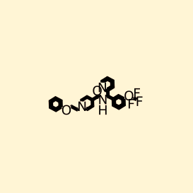 O=C(NC(c1cccc(OC(F)(F)F)c1)c1ccccn1)C1CCN(CCOc2ccccc2)CC1